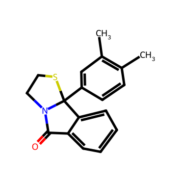 Cc1ccc(C23SCCN2C(=O)c2ccccc23)cc1C